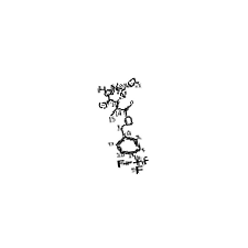 C=C(OCc1ccc(C(F)(F)F)cc1)/C(C)=C(\N=C(/N)OC)C(=O)O